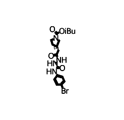 CC(C)COC(=O)N1CC[C@@H](CC(=O)NNC(=O)Nc2ccc(Br)cc2)C1